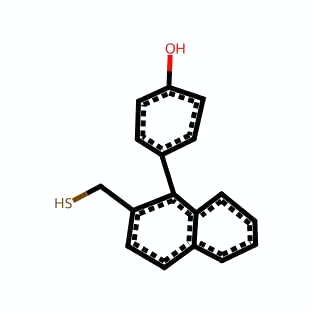 Oc1ccc(-c2c(CS)ccc3ccccc23)cc1